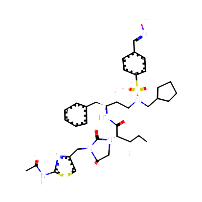 CC[C@H](C)[C@@H](C(=O)N[C@@H](Cc1ccccc1)[C@H](O)CN(CC1CCCC1)S(=O)(=O)c1ccc(C=NO)cc1)N1CC(=O)N(Cc2csc(NC(C)=O)n2)C1=O